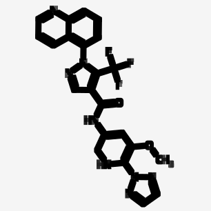 COC1=C(n2nccn2)NCC(NC(=O)c2cnn(-c3cccc4ncccc34)c2C(F)(F)F)=C1